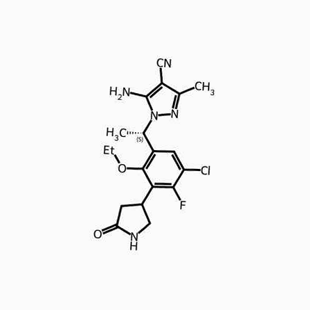 CCOc1c([C@H](C)n2nc(C)c(C#N)c2N)cc(Cl)c(F)c1C1CNC(=O)C1